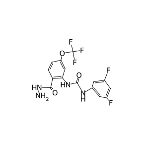 NNC(=O)c1ccc(OC(F)(F)F)cc1NC(=O)Nc1cc(F)cc(F)c1